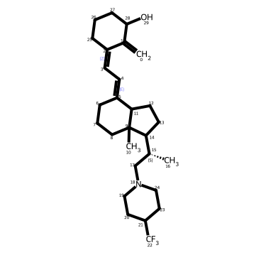 C=C1/C(=C\C=C2/CCCC3(C)C2CCC3[C@H](C)CN2CCC(C(F)(F)F)CC2)CCCC1O